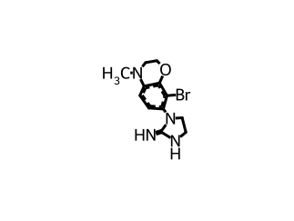 CN1CCOc2c1ccc(N1CCNC1=N)c2Br